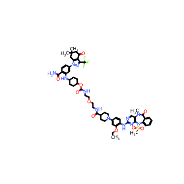 CCOc1cc(N2CCC(C(=O)NCCOCCNC(=O)OC3CCC(Nc4cc(-n5nc(C(F)(F)F)c6c5CC(C)(C)CC6=O)ccc4C(N)=O)CC3)CC2)ccc1Nc1ncc2c(n1)N(S(C)(=O)=O)c1ccccc1C(=O)N2C